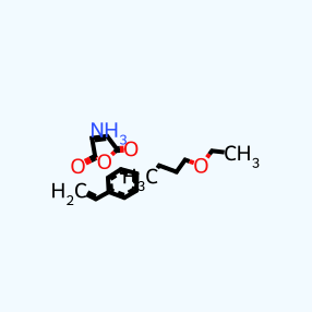 C=Cc1ccccc1.CCCCOCC.N.O=C1C=CC(=O)O1